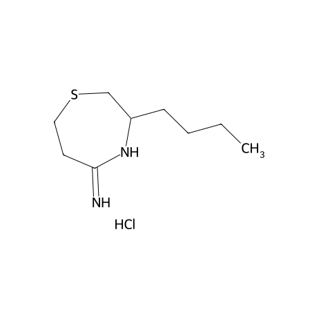 CCCCC1CSCCC(=N)N1.Cl